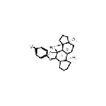 Cc1ccc(OC2C3CCCC[C@]3(C)[C@@H]3CC[C@]4(C)CCC[C@H]4[C@@H]3C2(C)C)cc1